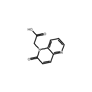 O=C(O)Cn1c(=O)ccc2ncccc21